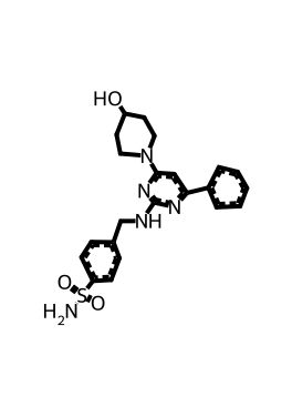 NS(=O)(=O)c1ccc(CNc2nc(-c3ccccc3)cc(N3CCC(O)CC3)n2)cc1